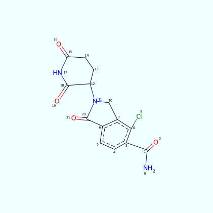 NC(=O)c1ccc2c(c1Cl)CN(C1CCC(=O)NC1=O)C2=O